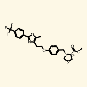 COC(=O)[C@@H]1CSCN1Cc1ccc(OCCc2nc(-c3ccc(C(F)(F)F)cc3)oc2C)cc1